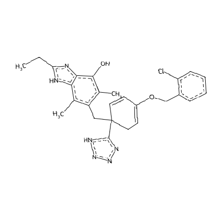 CCc1nc2c(O)c(C)c(CC3(c4nnn[nH]4)C=CC(OCc4ccccc4Cl)=CC3)c(C)c2[nH]1